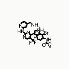 COC(=O)Nc1ccc2c(-c3nc(Nc4cc(CN)ccn4)ncc3C(F)(F)F)c[nH]c2c1Br